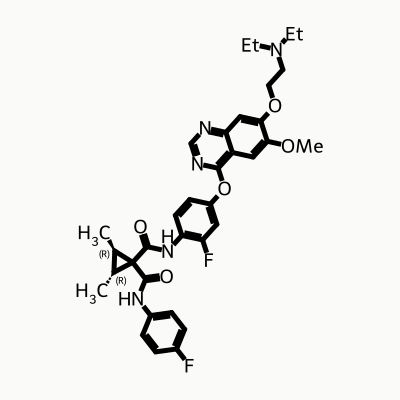 CCN(CC)CCOc1cc2ncnc(Oc3ccc(NC(=O)C4(C(=O)Nc5ccc(F)cc5)[C@H](C)[C@H]4C)c(F)c3)c2cc1OC